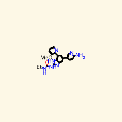 CCNC(=O)Nc1nc2cc(-c3ccc(N)nc3)cc(-c3ncccc3OC)c2[nH]1